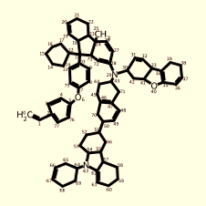 C=Cc1ccc(Oc2ccc(C3(C4CCCCC4)C4C=CCCC4C4(C)C=CC(N(C5C=CC6C7=C(C=CCC7)OC6C5)C5CCC6=C(C=CC(C7CCC8C(C7)C7CCCC=C7N8C7CC=CCC7)C6)C5)=CC43)cc2)cc1